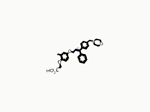 Cc1cc(OC/C=C(\c2ccccc2)c2ccc(CN3CCOCC3)cc2)ccc1OCC(=O)O